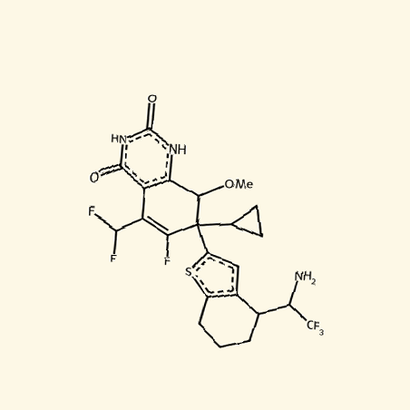 COC1c2[nH]c(=O)[nH]c(=O)c2C(C(F)F)=C(F)C1(c1cc2c(s1)CCCC2C(N)C(F)(F)F)C1CC1